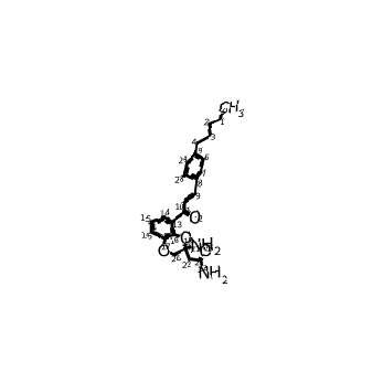 CCCCCc1ccc(C=CC(=O)c2cccc3c2OC(N)(CC(N)=O)CO3)cc1